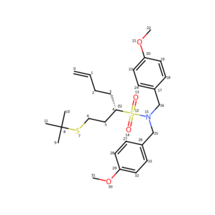 C=CCC[C@@H](CCSC(C)(C)C)S(=O)(=O)N(Cc1ccc(OC)cc1)Cc1ccc(OC)cc1